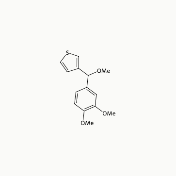 COc1ccc(C(OC)c2ccsc2)cc1OC